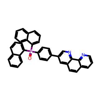 O=P(c1ccc(-c2cnc3c(ccc4cccnc43)c2)cc1)(c1cccc2ccccc12)c1cccc2ccccc12